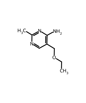 CCOCc1cnc(C)nc1N